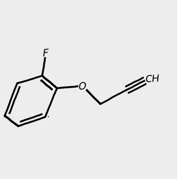 C#CCOc1[c]cccc1F